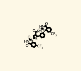 NC(=O)c1cc(-n2c(=O)[nH]c(=O)c3ccc(C(F)(F)F)cc32)sc1-c1cccc(-n2c(=O)[nH]c(=O)c3ccc(C(F)(F)F)cc32)c1